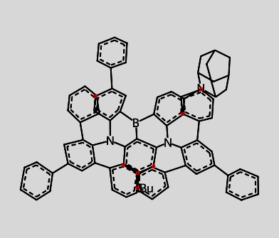 CC(C)(C)c1cc2c3c(c1)N(c1c(-c4ccccc4)cc(-c4ccccc4)cc1-c1ccccc1)c1cc(N4C5CC6CC(C5)CC4C6)ccc1B3c1cc(-c3ccccc3)ccc1N2c1c(-c2ccccc2)cc(-c2ccccc2)cc1-c1ccccc1